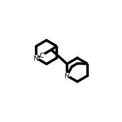 [CH]1C2CCN(CC2)C1C1CN2CCC1CC2